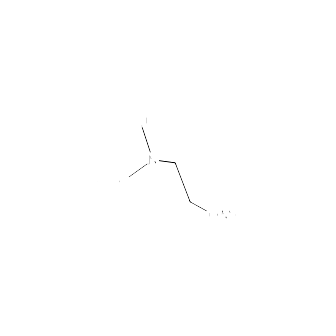 CCN([C]=O)CCOC